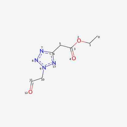 CCOC(=O)Cc1nnn(C[C]=O)n1